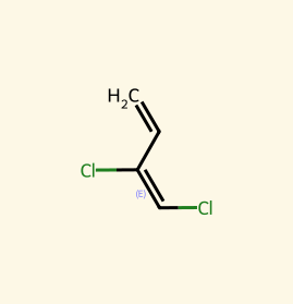 C=C/C(Cl)=C\Cl